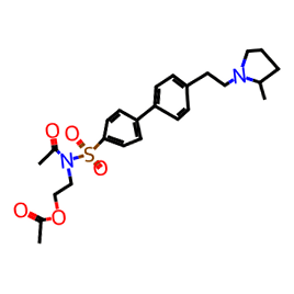 CC(=O)OCCN(C(C)=O)S(=O)(=O)c1ccc(-c2ccc(CCN3CCCC3C)cc2)cc1